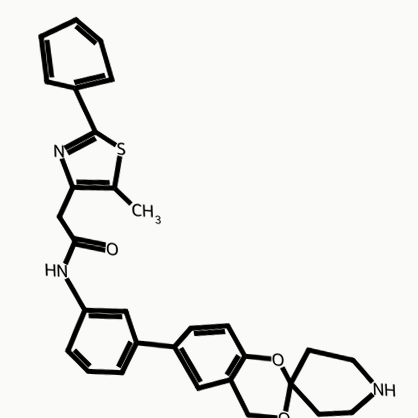 Cc1sc(-c2ccccc2)nc1CC(=O)Nc1cccc(-c2ccc3c(c2)COC2(CCNCC2)O3)c1